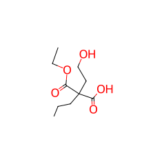 CCCC(CCO)(C(=O)O)C(=O)OCC